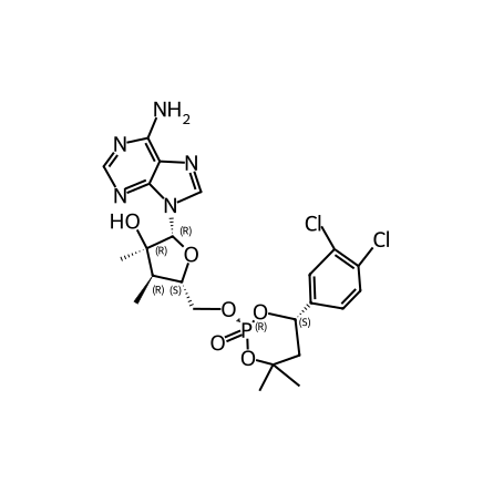 C[C@@H]1[C@@H](CO[P@]2(=O)O[C@H](c3ccc(Cl)c(Cl)c3)CC(C)(C)O2)O[C@@H](n2cnc3c(N)ncnc32)[C@]1(C)O